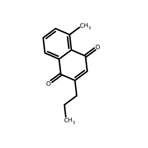 CCCC1=CC(=O)c2c(C)cccc2C1=O